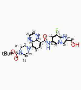 C[C@@H]1CN(c2ccc(C(=O)Nc3cc(F)c4nc(CO)cn4c3)c3nccnc23)C[C@H](C)N1C(=O)OC(C)(C)C